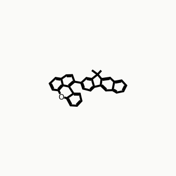 CC1(C)c2cc(-c3ccc4cccc5c4c3-c3ccccc3O5)ccc2-c2cc3ccccc3cc21